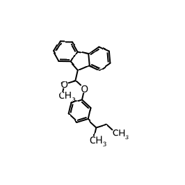 CCC(C)c1cccc(OC(OC)C2c3ccccc3-c3ccccc32)c1